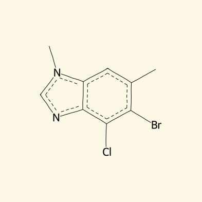 Cc1cc2c(ncn2C)c(Cl)c1Br